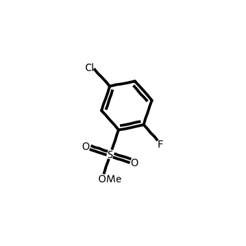 COS(=O)(=O)c1cc(Cl)ccc1F